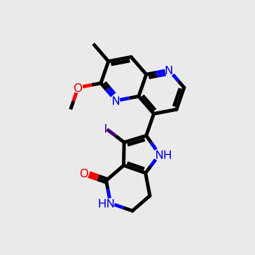 COc1nc2c(-c3[nH]c4c(c3I)C(=O)NCC4)ccnc2cc1C